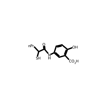 CCCC(S)C(=O)Nc1ccc(O)c(C(=O)O)c1